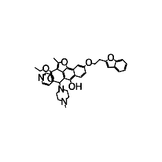 CCOC(=O)c1c(C)oc2c1c(C(c1ccncc1)N1CCN(C)CC1)c(O)c1ccc(OCCc3cc4ccccc4o3)cc12